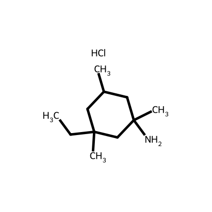 CCC1(C)CC(C)CC(C)(N)C1.Cl